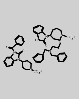 O=C(O)N1CCC(n2c(=O)n(C(=O)c3ccccc3)c3ccccc32)CC1.O=C(O)N1CCCC(n2c(=O)[nH]c3ccccc32)C[C@@H]1CCCN(Cc1ccccc1)Cc1ccccc1